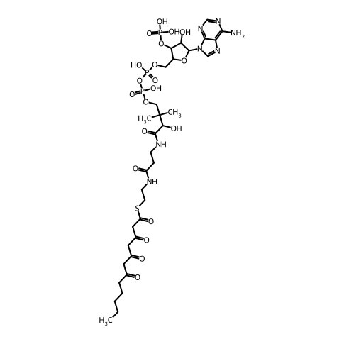 CCCCCC(=O)CC(=O)CC(=O)CC(=O)SCCNC(=O)CCNC(=O)C(O)C(C)(C)COP(=O)(O)OP(=O)(O)OCC1OC(n2cnc3c(N)ncnc32)C(O)C1OP(=O)(O)O